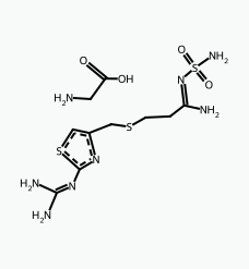 NC(N)=Nc1nc(CSCCC(N)=NS(N)(=O)=O)cs1.NCC(=O)O